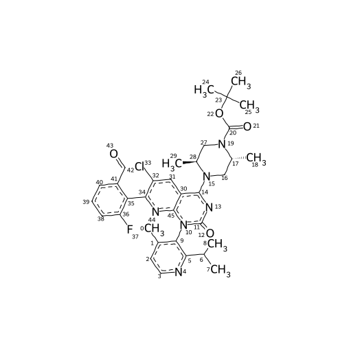 Cc1ccnc(C(C)C)c1-n1c(=O)nc(N2C[C@@H](C)N(C(=O)OC(C)(C)C)C[C@@H]2C)c2cc(Cl)c(-c3c(F)cccc3C=O)nc21